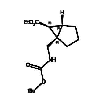 CCOC(=O)[C@H]1[C@@H]2CCC[C@@]21CNC(=O)OC(C)(C)C